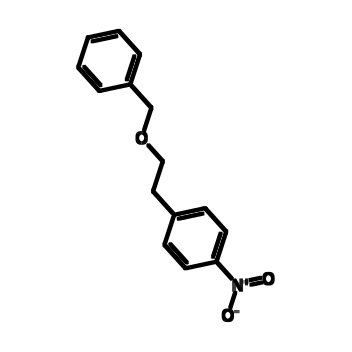 O=[N+]([O-])c1ccc(CCOCc2ccccc2)cc1